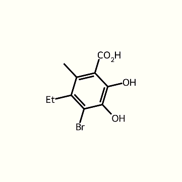 CCc1c(C)c(C(=O)O)c(O)c(O)c1Br